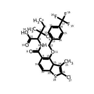 CCC(C)(C)C(NC(=O)C1=C(OCc2ccc(C(F)(F)F)cc2)C2C(C)=C(Cl)SC2C=C1)C(=O)O